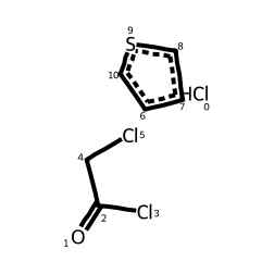 Cl.O=C(Cl)CCl.c1ccsc1